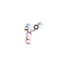 CC(C)(C)OC(=O)CO/N=C(\C(=O)OCc1ccc([N+](=O)[O-])cc1)c1csc(N)n1